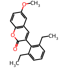 CCc1cccc(CC)c1-c1cc2cc(OC)ccc2oc1=O